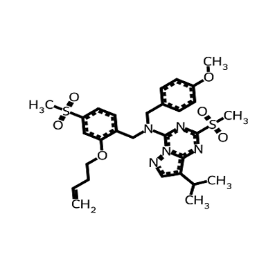 C=CCCOc1cc(S(C)(=O)=O)ccc1CN(Cc1ccc(OC)cc1)c1nc(S(C)(=O)=O)nc2c(C(C)C)cnn12